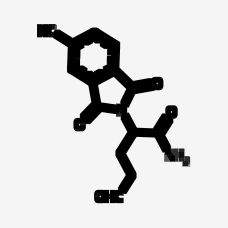 N#Cc1ccc2c(c1)C(=O)N(C(CCC=O)C(N)=O)C2=O